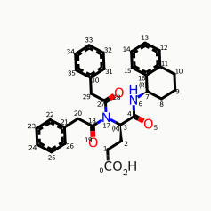 O=C(O)CC[C@H](C(=O)N[C@@H]1CCCc2ccccc21)N(C(=O)Cc1ccccc1)C(=O)Cc1ccccc1